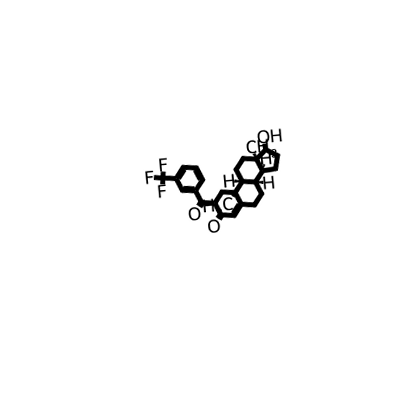 C[C@]12CC(C(=O)c3cccc(C(F)(F)F)c3)C(=O)C=C1CC[C@@H]1[C@H]2CC[C@]2(C)C(O)CC[C@@H]12